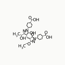 CCOC1=NN(c2ccc(C(=O)O)cc2)C(=O)C1=Cc1c(C(C)O)nn(-c2ccc(C(=O)O)cc2)c1O